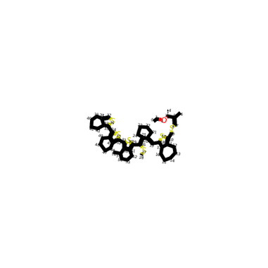 CCO[C@H](C)/C(C)=C\SCC1=C2CCCCCC2C(/C=C2\CCCC\C2=C(\SC)c2sc(-c3sc(C4SC=C5CCCCC54)c4c3CCCC4)c3c2CCCC3C)S1